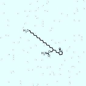 CCCCCCCCCCCCCCCCC(CCC1CCC[N+]1=O)COC(N)=O